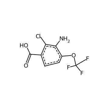 Nc1c(OC(F)(F)F)ccc(C(=O)O)c1Cl